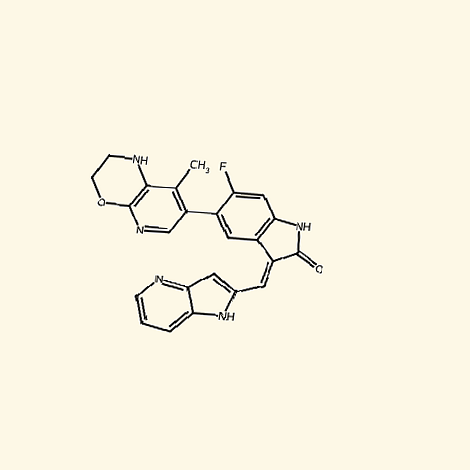 Cc1c(-c2cc3c(cc2F)NC(=O)C3=Cc2cc3ncccc3[nH]2)cnc2c1NCCO2